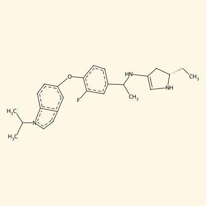 CC[C@H]1CC(NC(C)c2ccc(Oc3ccc4c(ccn4C(C)C)c3)c(F)c2)=CN1